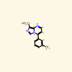 O=C(O)c1ncn2c(-c3cccc(C(F)(F)F)c3)ccnc12